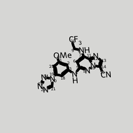 COc1cc(Nc2cc(NCC(F)(F)F)c3ncc(C#N)n3n2)cc(-n2cnnn2)c1